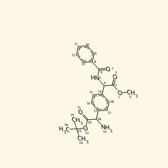 COC(=O)C(NC(=O)c1ccccc1)c1ccc(C(N)C(=O)OC(C)(C)C)cc1